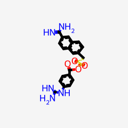 N=C(N)Nc1ccc(C(=O)OS(=O)(=O)Cc2ccc3cc(C(=N)N)ccc3c2)cc1